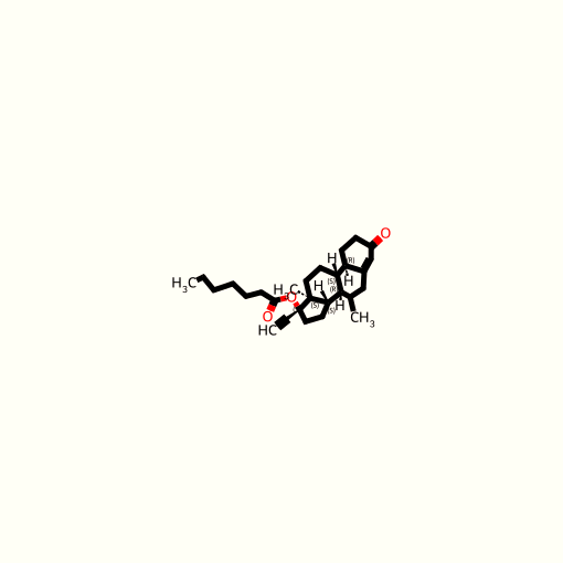 C#C[C@]1(OC(=O)CCCCCC)CC[C@H]2[C@@H]3C(C)CC4=CC(=O)CC[C@@H]4[C@H]3CC[C@@]21C